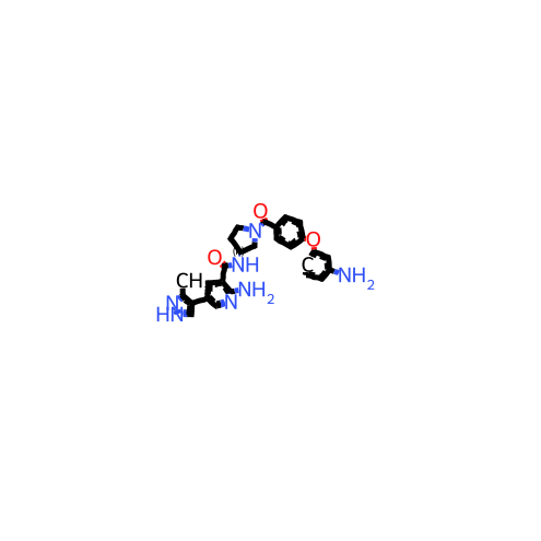 Cc1n[nH]cc1-c1cnc(N)c(C(=O)N[C@@H]2CCN(C(=O)c3ccc(Oc4cccc(N)c4)cc3)C2)c1